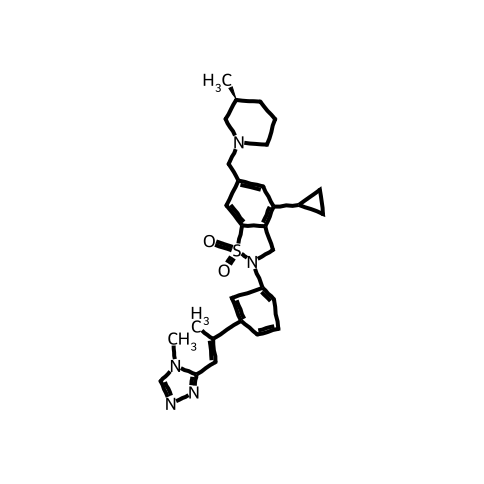 C/C(=C\c1nncn1C)c1cccc(N2Cc3c(C4CC4)cc(CN4CCC[C@H](C)C4)cc3S2(=O)=O)c1